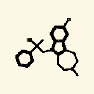 CN1CCc2c(n(CC(C)(O)c3ccccc3)c3ccc(Cl)cc23)CC1